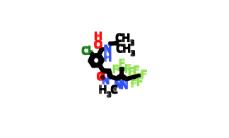 CC(C)CNC(O)c1cc(-c2cc(-c3c(C(F)(F)F)c(C(F)(F)C(F)(F)F)nn3C)no2)ccc1Cl